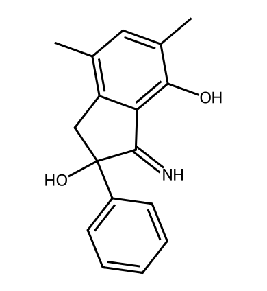 Cc1cc(C)c2c(c1O)C(=N)C(O)(c1ccccc1)C2